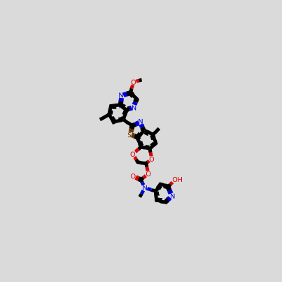 COc1cnc2c(-c3nc4c(C)cc5c(c4s3)OCC(OC(=O)N(C)c3ccnc(O)c3)O5)cc(C)cc2n1